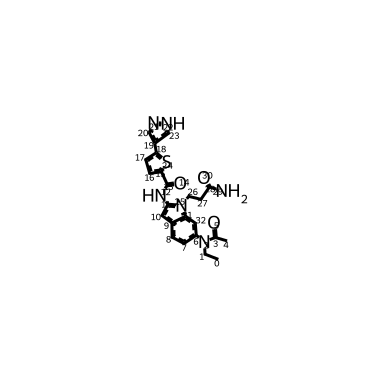 CCN(C(C)=O)c1ccc2cc(NC(=O)c3ccc(-c4cn[nH]c4)s3)n(CCC(N)=O)c2c1